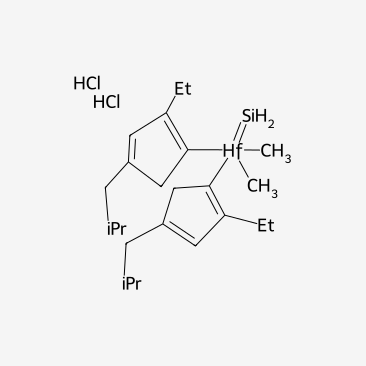 CCC1=[C]([Hf]([CH3])([CH3])(=[SiH2])[C]2=C(CC)C=C(CC(C)C)C2)CC(CC(C)C)=C1.Cl.Cl